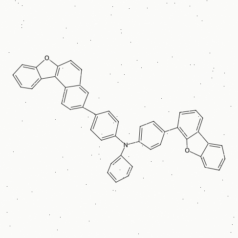 c1ccc(N(c2ccc(-c3ccc4c(ccc5oc6ccccc6c54)c3)cc2)c2ccc(-c3cccc4c3oc3ccccc34)cc2)cc1